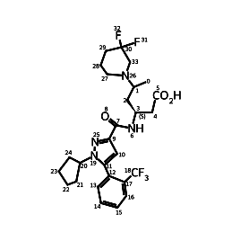 CC(C[C@@H](CC(=O)O)NC(=O)c1cc(-c2ccccc2C(F)(F)F)n(C2CCCC2)n1)N1CCCC(F)(F)C1